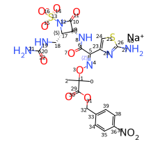 CC(C)(O/N=C(\C(=O)N[C@H]1C(=O)N(S(=O)(=O)[O-])[C@H]1CNC(N)=O)c1csc(N)n1)C(=O)OCc1ccc([N+](=O)[O-])cc1.[Na+]